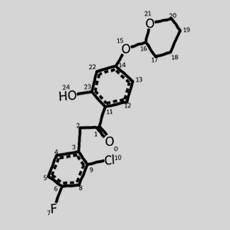 O=C(Cc1ccc(F)cc1Cl)c1ccc(OC2CCCCO2)cc1O